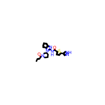 C/C=C/C(=O)N1CCCC(n2c(NC(=O)c3ccc(-c4cn[nH]c4)s3)nc3ccccc32)C1